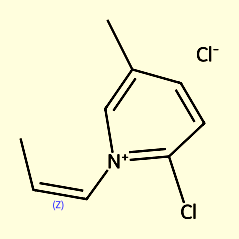 C/C=C\[n+]1cc(C)ccc1Cl.[Cl-]